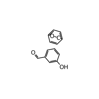 O=Cc1cccc(O)c1.c1cc2ccc1CO2